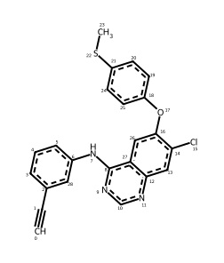 C#Cc1cccc(Nc2ncnc3cc(Cl)c(Oc4ccc(SC)cc4)cc23)c1